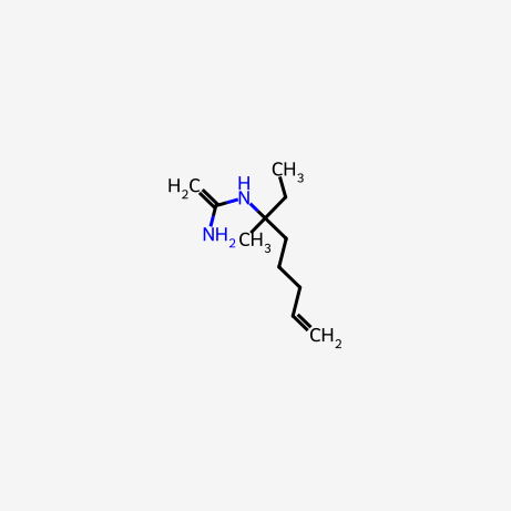 C=CCCCC(C)(CC)NC(=C)N